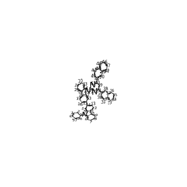 c1ccc(-n2c3ccccc3c3ccc(-c4ccc5c6ccccc6n(-c6nc(-c7ccc8ccccc8c7)cc(-c7ccc8ccccc8c7)n6)c5c4)cc32)cc1